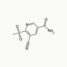 CS(=O)(=O)c1ncc(C(N)=O)cc1C#N